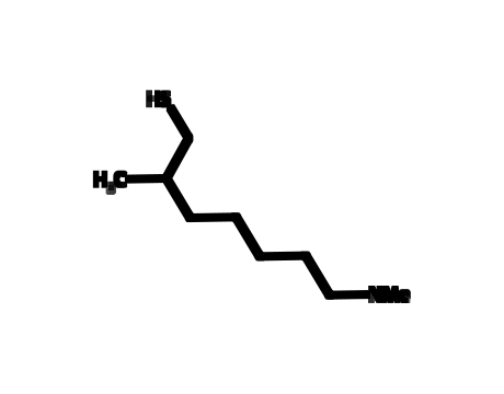 CNCCCCCC(C)CS